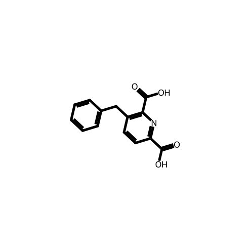 O=C(O)c1ccc(Cc2ccccc2)c(C(=O)O)n1